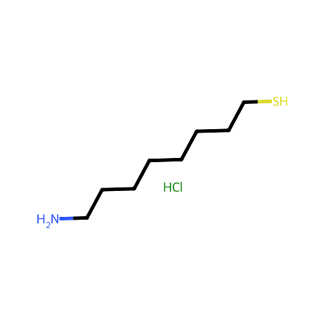 Cl.NCCCCCCCCS